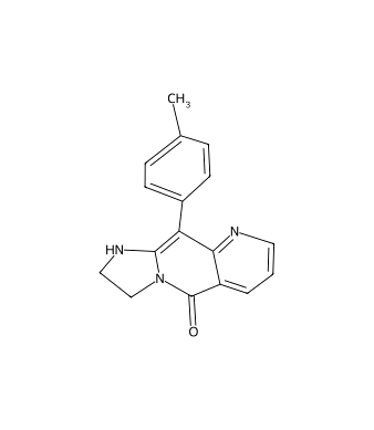 Cc1ccc(-c2c3n(c(=O)c4cccnc24)CCN3)cc1